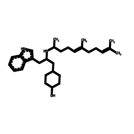 CC(C)=CCC/C(C)=C/CCC(C)NC(Cc1c[nH]c2ccccc12)CC1CCC(O)CC1